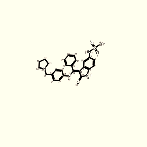 CCCS(=O)(=O)Nc1ccc2c(c1)/C(=C(/Nc1ccc(CN3CCCC3)cc1)c1ccccc1)C(=O)N2